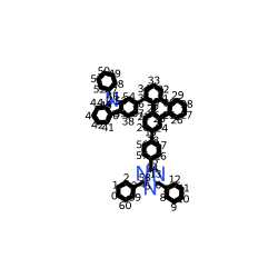 c1ccc(-c2nc(-c3ccccc3)nc(-c3ccc(-c4ccc5c(c4)c4ccccc4c4cccc(-c6ccc7c8ccccc8n(-c8ccccc8)c7c6)c45)cc3)n2)cc1